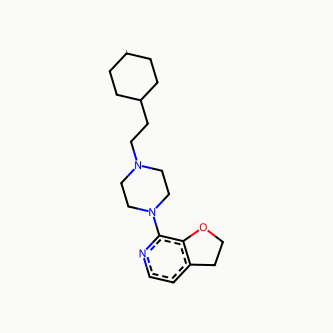 [CH]1CCC(CCN2CCN(c3nccc4c3OCC4)CC2)CC1